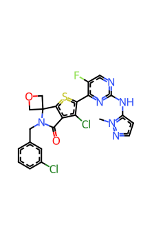 Cn1nccc1Nc1ncc(F)c(-c2sc3c(c2Cl)C(=O)N(Cc2cccc(Cl)c2)C32COC2)n1